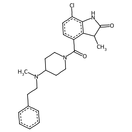 CC1C(=O)Nc2c(Cl)ccc(C(=O)N3CCC(N(C)CCc4ccccc4)CC3)c21